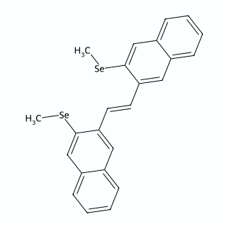 C[Se]c1cc2ccccc2cc1C=Cc1cc2ccccc2cc1[Se]C